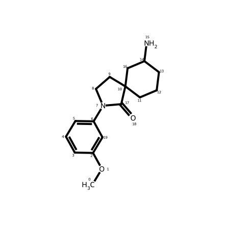 COc1cccc(N2CCC3(CCCC(N)C3)C2=O)c1